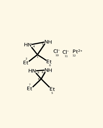 CCC1(CC)NN1.CCC1(CC)NN1.[Cl-].[Cl-].[Pt+2]